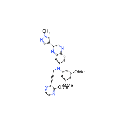 COc1cc(OC)cc(N(CC#Cc2nccnc2OC)c2ccc3ncc(-c4cnn(C)c4)nc3c2)c1